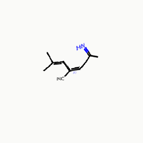 CC(=N)/C=C(/C#N)C=C(C)C